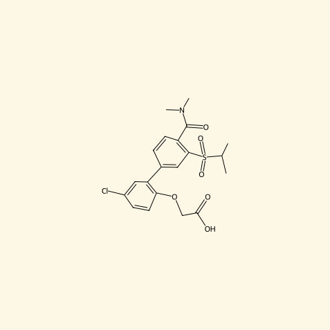 CC(C)S(=O)(=O)c1cc(-c2cc(Cl)ccc2OCC(=O)O)ccc1C(=O)N(C)C